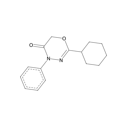 O=C1COC(C2CCCCC2)=NN1c1ccccc1